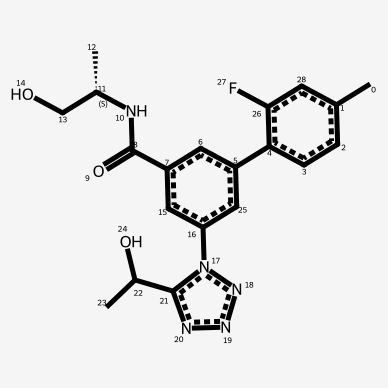 Cc1ccc(-c2cc(C(=O)N[C@@H](C)CO)cc(-n3nnnc3C(C)O)c2)c(F)c1